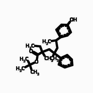 CCC(C)(CC(C)(CC(C)c1ccc(O)cc1)c1ccccc1)C(=O)OC(C)(C)C